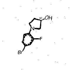 O[C@@H]1CCN(c2ccc(Br)cc2F)C1